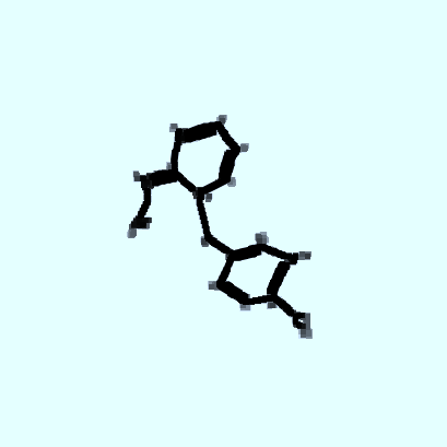 CC(=O)/N=c1/ncccn1Cc1ccc(Cl)nc1